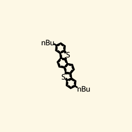 CCCCc1ccc2sc3c(ccc4c3ccc3c5cc(CCCC)ccc5sc34)c2c1